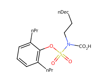 CCCCCCCCCCCCN(C(=O)O)S(=O)(=O)Oc1c(CCC)cccc1CCC